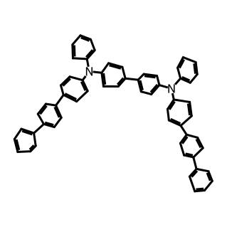 c1ccc(-c2ccc(-c3ccc(N(c4ccccc4)c4ccc(-c5ccc(N(c6ccccc6)c6ccc(-c7ccc(-c8ccccc8)cc7)cc6)cc5)cc4)cc3)cc2)cc1